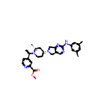 C=C(c1ccnc(C(=O)OC)c1)N1CC[C@@H](N2Cc3cnc(Nc4cc(C)cc(C)c4)nc3C2)C[C@H]1C